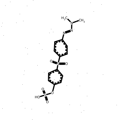 CN(C)N=Nc1ccc(S(=O)(=O)c2ccc(OS(=O)(=O)O)cc2)cc1